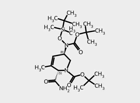 CC1=C[C@@H](N(O[Si](C)(C)C(C)(C)C)C(=O)OC(C)(C)C)CN(C(=O)OC(C)(C)C)[C@@H]1C(N)=O